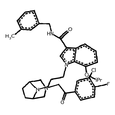 Cc1cccc(CNC(=O)c2cn(CCCN3C4CCC3CN(CC(=O)c3ccc(F)c(Cl)c3)C4)c3c(OC(C)C)cccc23)c1